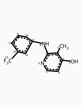 Cc1c(O)ccnc1Nc1cccc(C(F)(F)F)c1